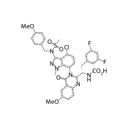 COc1ccc(CN(c2nn(C)c3c(-n4c([C@H](Cc5cc(F)cc(F)c5)NC(=O)O)nc5ccc(OC)cc5c4=O)ccc(Cl)c23)S(C)(=O)=O)cc1